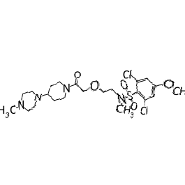 COc1cc(Cl)c(S(=O)(=O)N(C)CCOCC(=O)N2CCC(N3CCN(C)CC3)CC2)c(Cl)c1